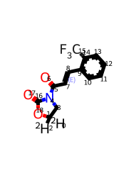 [2H]C1([2H])CN(C(=O)/C=C/c2ccccc2C(F)(F)F)C(=O)O1